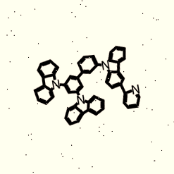 c1ccc(-c2ccc3c(c2)c2ccccc2n3-c2cccc(-c3cc(-n4c5ccccc5c5ccccc54)cc(-n4c5ccccc5c5ccccc54)c3)c2)nc1